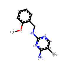 Nc1nc(NCc2ccccc2OC(F)(F)F)ncc1[N+](=O)[O-]